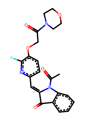 CC(=O)N1/C(=C\c2ccc(OCC(=O)N3CCOCC3)c(F)n2)C(=O)c2ccccc21